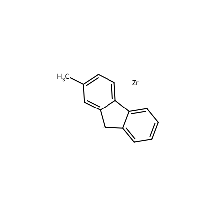 Cc1ccc2c(c1)[CH]c1ccccc1-2.[Zr]